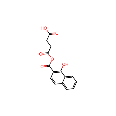 O=C(O)CCC(=O)OC(=O)c1ccc2ccccc2c1O